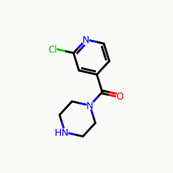 O=C(c1ccnc(Cl)c1)N1CCNCC1